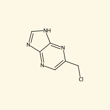 ClCc1cnc2nc[nH]c2n1